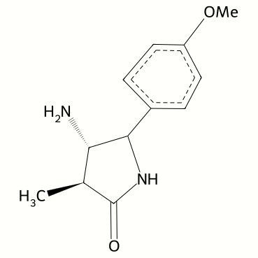 COc1ccc(C2NC(=O)[C@@H](C)[C@@H]2N)cc1